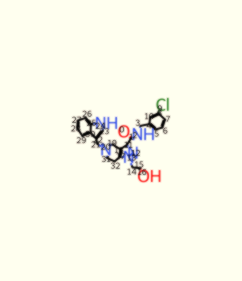 O=C(NCc1cccc(Cl)c1)c1nn(CCO)c2c1CN(Cc1c[nH]c3ccccc13)CC2